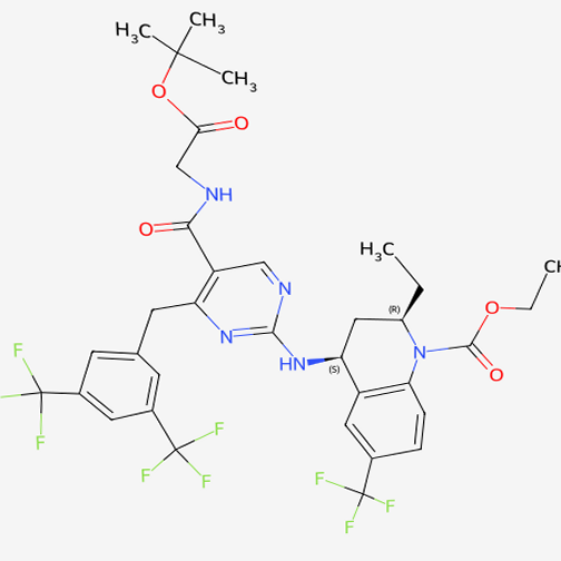 CCOC(=O)N1c2ccc(C(F)(F)F)cc2[C@@H](Nc2ncc(C(=O)NCC(=O)OC(C)(C)C)c(Cc3cc(C(F)(F)F)cc(C(F)(F)F)c3)n2)C[C@H]1CC